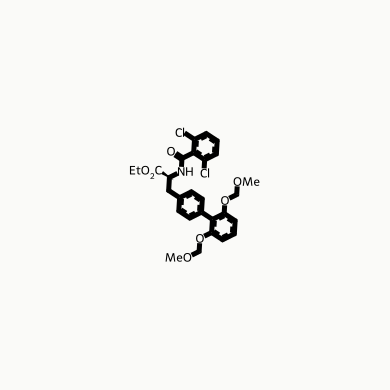 CCOC(=O)[C@H](Cc1ccc(-c2c(OCOC)cccc2OCOC)cc1)NC(=O)c1c(Cl)cccc1Cl